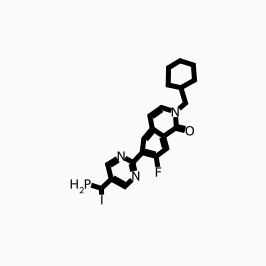 O=c1c2cc(F)c(-c3ncc(C(P)I)cn3)cc2ccn1CC1CCCCC1